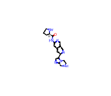 O=C(Nc1cc2cc(-c3cnc4n3CCNC4)ncc2cn1)[C@H]1CCCN1